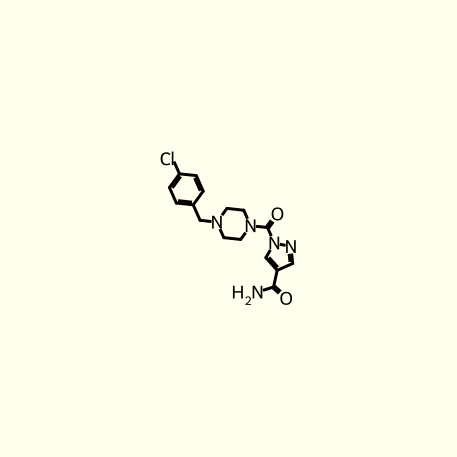 NC(=O)c1cnn(C(=O)N2CCN(Cc3ccc(Cl)cc3)CC2)c1